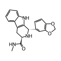 CNC(=O)[C@H]1Cc2c([nH]c3ccccc23)[C@H](c2ccc3c(c2)OCO3)N1